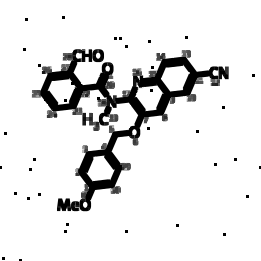 COc1ccc(COc2cc3cc(C#N)ccc3nc2N(C)C(=O)c2ccccc2C=O)cc1